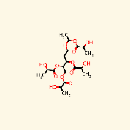 CC(OCCC(OC(=O)C(C)O)C(COC(=O)C(C)O)OC(=O)C(C)O)OC(=O)C(C)O